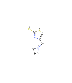 Sc1nc(CN2CCC2)cs1